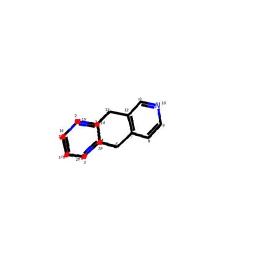 c1ccc2c(c1)C1c3ccncc3C2c2nccnc21